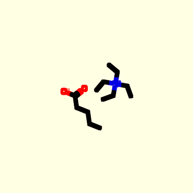 CCCCC(=O)[O-].CC[N+](CC)(CC)CC